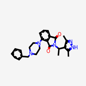 Cc1n[nH]c(C)c1C(C)N1C(=O)c2cccc(N3CCN(Cc4ccccc4)CC3)c2C1=O